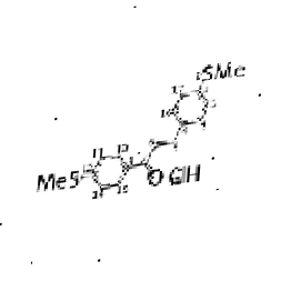 CSc1ccc(C=CC(=O)c2ccc(SC)cc2)cc1.Cl